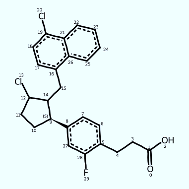 O=C(O)CCc1ccc([C@H]2CCC(Cl)C2Cc2ccc(Cl)c3ccccc23)cc1F